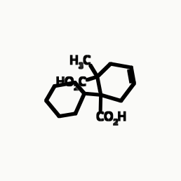 CC1(C(=O)O)CC=CCC1(C(=O)O)C1CCCCC1